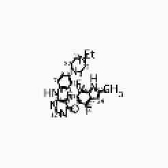 CCN1CCN(c2ccc(Nc3ncnc(Oc4cc(F)c5[nH]c(C)cc5c4F)c3F)cc2)CC1